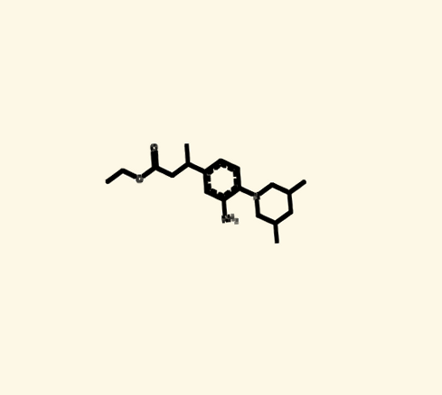 CCOC(=O)CC(C)c1ccc(N2CC(C)CC(C)C2)c(N)c1